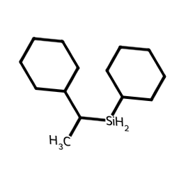 CC([SiH2]C1CCCCC1)C1CCCCC1